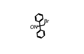 O=NC(CBr)(c1ccccc1)c1ccccc1